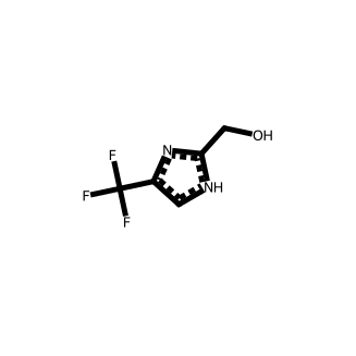 OCc1nc(C(F)(F)F)c[nH]1